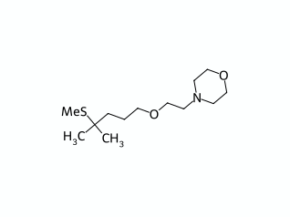 CSC(C)(C)CCCOCCN1CCOCC1